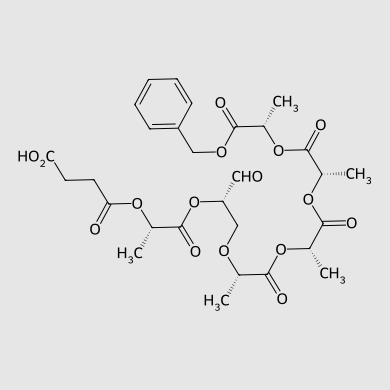 C[C@H](OC[C@@H](C=O)OC(=O)[C@H](C)OC(=O)CCC(=O)O)C(=O)O[C@@H](C)C(=O)O[C@@H](C)C(=O)O[C@@H](C)C(=O)OCc1ccccc1